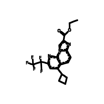 CCOC(=O)c1cn2c(ccc3c(C4CCC4)cc(C(F)(F)C(F)(F)F)nc32)n1